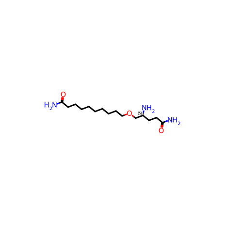 NC(=O)CCCCCCCCCOC[C@@H](N)CCC(N)=O